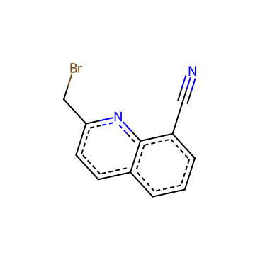 N#Cc1cccc2ccc(CBr)nc12